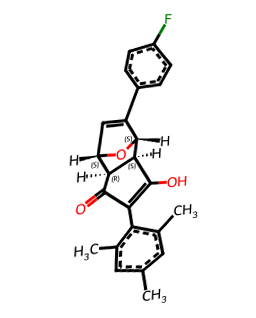 Cc1cc(C)c(C2=C(O)[C@H]3[C@@H](C2=O)[C@@H]2C=C(c4ccc(F)cc4)[C@H]3O2)c(C)c1